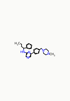 CCCC(Nc1cncc(-c2ccc(CN3CCN(C)CC3)cc2)n1)c1ccccc1